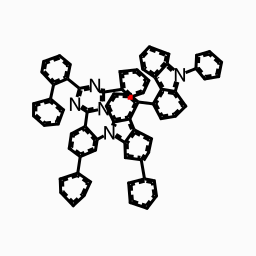 c1ccc(-c2ccc(-c3nc(-c4ccccc4)nc(-c4ccccc4-c4ccccc4)n3)c(-n3c4cc(-c5ccccc5)ccc4c4c(-c5cccc6c5c5ccccc5n6-c5ccccc5)cccc43)c2)cc1